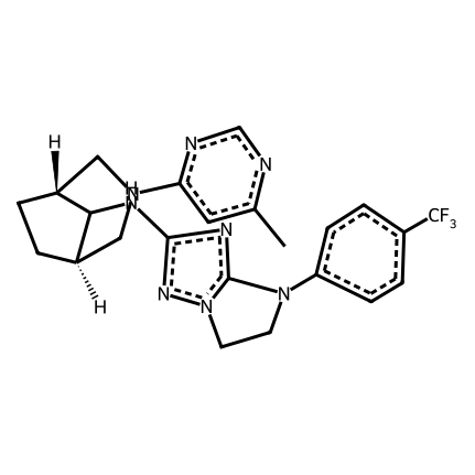 Cc1cc(N2C[C@H]3CC[C@H](C2)C3Nc2nc3n(n2)CCN3c2ccc(C(F)(F)F)cc2)ncn1